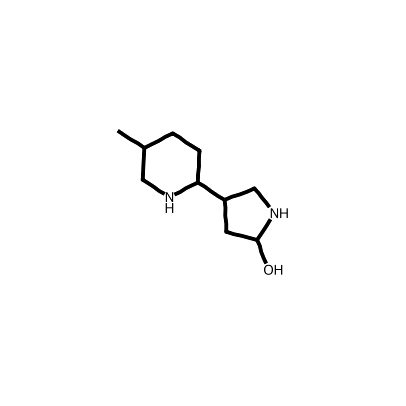 CC1CCC(C2CNC(O)C2)NC1